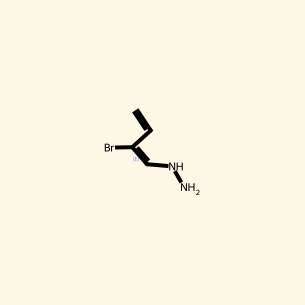 C=C/C(Br)=C\NN